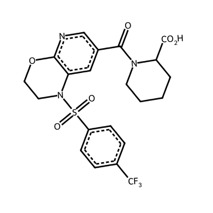 O=C(O)C1CCCCN1C(=O)c1cnc2c(c1)N(S(=O)(=O)c1ccc(C(F)(F)F)cc1)CCO2